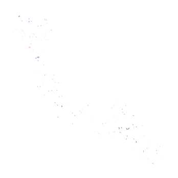 O=C(N[C@@H]1CCCN(C(=O)COc2cccc([C@@](O)(C(=O)O)c3ccccc3CC3CCN(Cc4ccccc4)CC3)c2)C1)c1ccc(CCNC[C@H](O)c2ccc(O)c3[nH]c(=O)ccc23)cc1